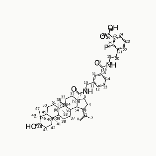 C=C(C)[C@@H]1CC[C@]2(C(=O)NCc3cccc(C(=O)NCCc4cccc(C(=O)O)c4F)c3)CC[C@]3(C)C(CCC4[C@@]5(C)CC[C@H](O)C(C)(C)C5CC[C@]43C)C12